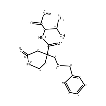 CNC(=O)C(NC(=O)C1(COCc2ccccc2)CCNC(=O)C1)C(C)O